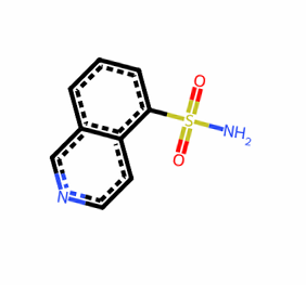 NS(=O)(=O)c1cccc2cnccc12